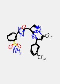 NS(=O)(=O)c1cccc(-c2noc(-c3cnn4c(C(F)(F)F)cc(-c5cccc(C(F)(F)F)c5)nc34)n2)c1